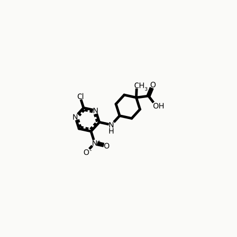 CC1(C(=O)O)CCC(Nc2nc(Cl)ncc2[N+](=O)[O-])CC1